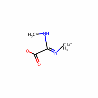 CN=C(NC)C(=O)[O-].[Li+]